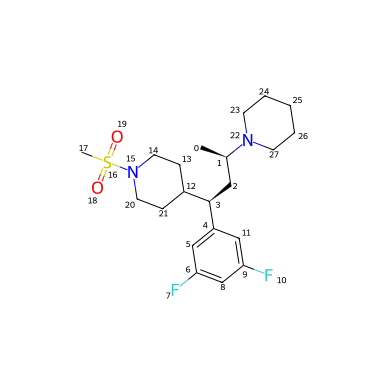 C[C@H](C[C@@H](c1cc(F)cc(F)c1)C1CCN(S(C)(=O)=O)CC1)N1CCCCC1